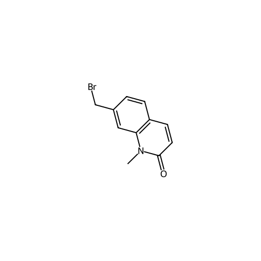 Cn1c(=O)ccc2ccc(CBr)cc21